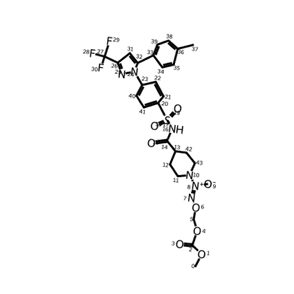 COC(=O)OCON=[N+]([O-])N1CCC(C(=O)NS(=O)(=O)c2ccc(-n3nc(C(F)(F)F)cc3-c3ccc(C)cc3)cc2)CC1